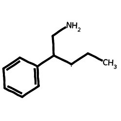 CC[CH]C(CN)c1ccccc1